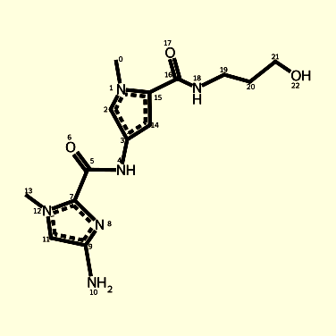 Cn1cc(NC(=O)c2nc(N)cn2C)cc1C(=O)NCCCO